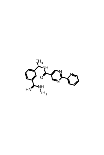 C[C@@H](NC(=O)c1cnc(-c2ccccn2)nc1)c1cccc(C(=N)NN)c1